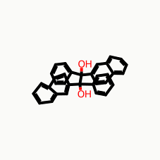 OC(c1ccccc1)(c1ccc2ccccc2c1)C(O)(c1ccccc1)c1ccc2ccccc2c1